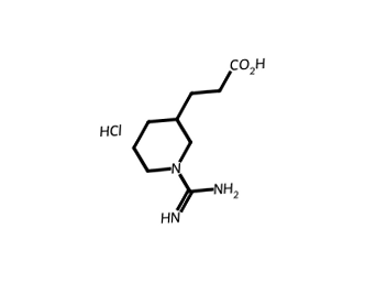 Cl.N=C(N)N1CCCC(CCC(=O)O)C1